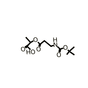 CC(OC(=O)CCNC(=O)OC(C)(C)C)C(=O)O